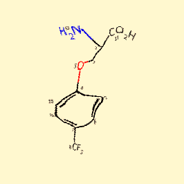 NC(COc1ccc(C(F)(F)F)cc1)C(=O)O